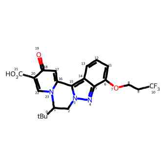 CC(C)(C)C1Cn2nc3c(OCCC(F)(F)F)cccc3c2-c2cc(=O)c(C(=O)O)cn21